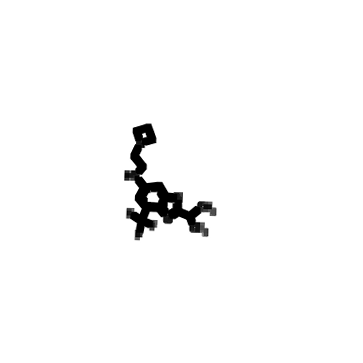 CC(C)c1nc2cc(NCCN3CCC3)cc(C(F)(F)F)c2o1